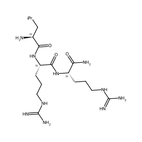 CC(C)C[C@H](N)C(=O)N[C@@H](CCCNC(=N)N)C(=O)N[C@@H](CCCNC(=N)N)C(N)=O